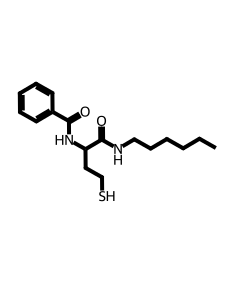 CCCCCCNC(=O)C(CCS)NC(=O)c1ccccc1